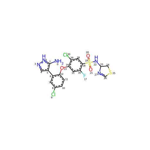 Nc1[nH]ncc1-c1cc(Cl)ccc1Oc1cc(F)c(S(=O)(=O)NC2CSC=N2)cc1Cl